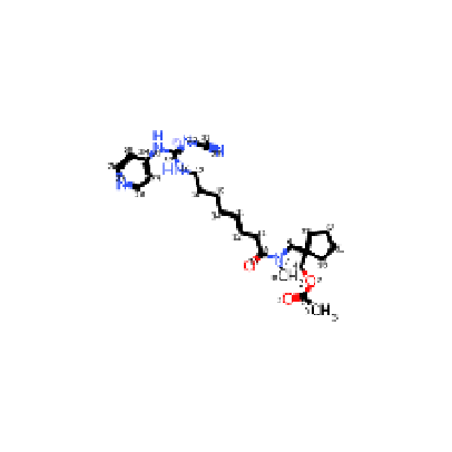 CC(=O)OCC1(CN(C)C(=O)CCCCCCCN/C(=N\C#N)Nc2ccncc2)CCCC1